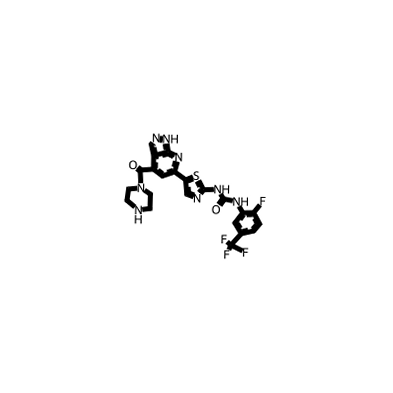 O=C(Nc1ncc(-c2cc(C(=O)N3CCNCC3)c3cn[nH]c3n2)s1)Nc1cc(C(F)(F)F)ccc1F